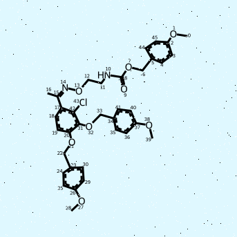 COc1ccc(COC(=O)NCCO/N=C(/C)c2ccc(OCc3ccc(OC)cc3)c(OCc3ccc(OC)cc3)c2Cl)cc1